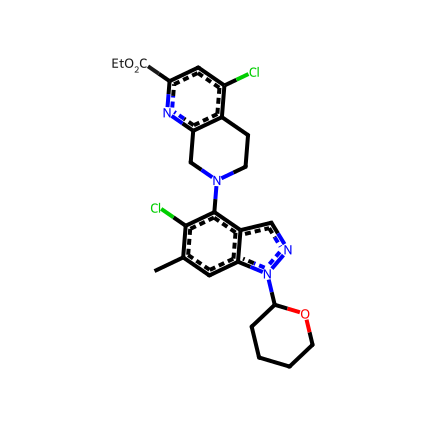 CCOC(=O)c1cc(Cl)c2c(n1)CN(c1c(Cl)c(C)cc3c1cnn3C1CCCCO1)CC2